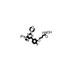 CC(C)n1cnc2c(-c3ccc(F)c(OCCCC(=O)NO)c3)nc(N3CCOCC3)nc21